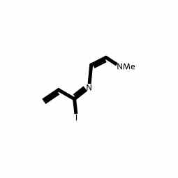 C=C/C(I)=N\C=C/NC